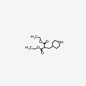 CCOC(=O)C(CC1CCNCC1)C(=O)OCC